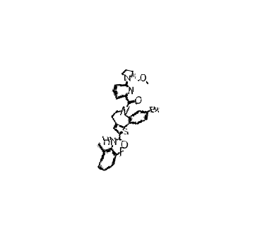 COC[C@H]1CCCN1c1cccc(C(=O)N2CCc3cc(C(=O)Nc4c(C)cccc4F)sc3-c3ccc(Br)cc32)n1